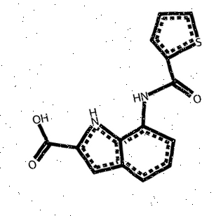 O=C(O)c1cc2cccc(NC(=O)c3cccs3)c2[nH]1